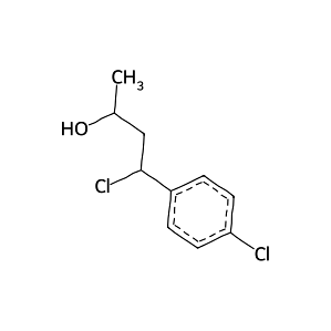 CC(O)CC(Cl)c1ccc(Cl)cc1